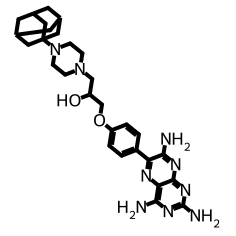 Nc1nc(N)c2nc(-c3ccc(OCC(O)CN4CCN(C56CC7CC(CC(C7)C5)C6)CC4)cc3)c(N)nc2n1